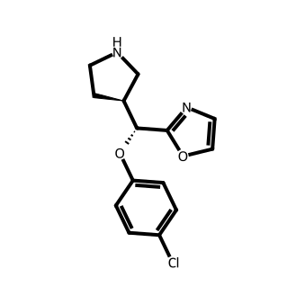 Clc1ccc(O[C@@H](c2ncco2)[C@H]2CCNC2)cc1